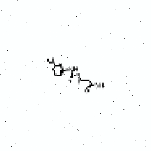 O=C(O)CCNC(=S)Nc1cccc(Cl)c1